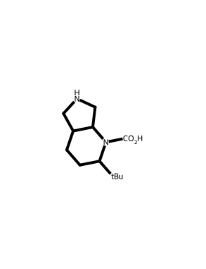 CC(C)(C)C1CCC2CNCC2N1C(=O)O